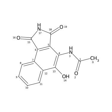 CC(=O)Nc1c2c(c3ccccc3c1O)C(=O)NC2=O